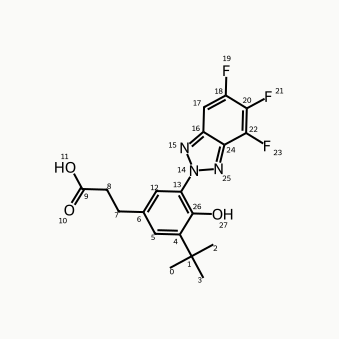 CC(C)(C)c1cc(CCC(=O)O)cc(-n2nc3cc(F)c(F)c(F)c3n2)c1O